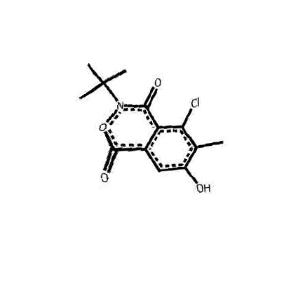 Cc1c(O)cc2c(=O)on(C(C)(C)C)c(=O)c2c1Cl